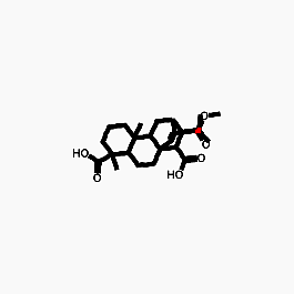 COC(=O)C1C2CC3C4(C)CCCC(C)(C(=O)O)C4CCC3(C=C2C(C)C)C1C(=O)O